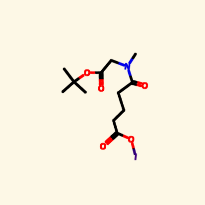 CN(CC(=O)OC(C)(C)C)C(=O)CCCC(=O)OI